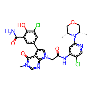 C[C@@H]1COC[C@H](C)N1c1cc(NC(=O)Cn2cc(-c3cc(Cl)c(O)c(C(N)=O)c3)c3c(=O)n(C)cnc32)c(Cl)cn1